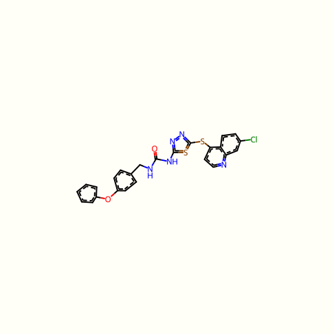 O=C(NCc1ccc(Oc2ccccc2)cc1)Nc1nnc(Sc2ccnc3cc(Cl)ccc23)s1